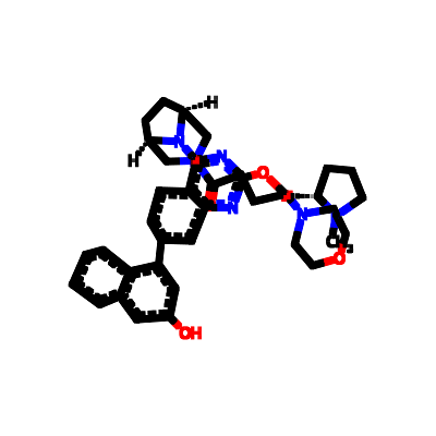 CN1CCC[C@H]1COc1nc(N2[C@@H]3CC[C@H]2CN(C(=O)CCCN2CCOCC2)C3)c2ccc(-c3cc(O)cc4ccccc34)cc2n1